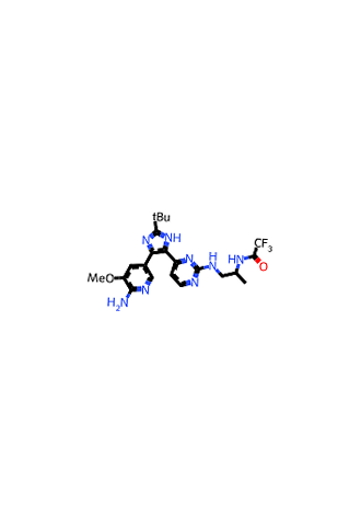 COc1cc(-c2nc(C(C)(C)C)[nH]c2-c2ccnc(NCC(C)NC(=O)C(F)(F)F)n2)cnc1N